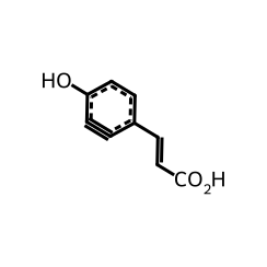 O=C(O)/C=C/c1c#cc(O)cc1